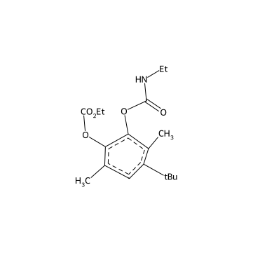 CCNC(=O)Oc1c(C)c(C(C)(C)C)cc(C)c1OC(=O)OCC